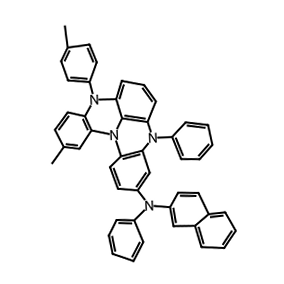 Cc1ccc(N2c3ccc(C)cc3N3c4ccc(N(c5ccccc5)c5ccc6ccccc6c5)cc4N(c4ccccc4)c4cccc2c43)cc1